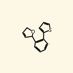 [c]1cccc(C2C=CCO2)c1-c1cccs1